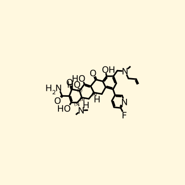 C=CCN(C)Cc1cc(-c2ccc(F)nc2)c2c(c1O)C(=O)C1=C(O)[C@]3(O)C(=O)C(C(N)=O)=C(O)[C@@H](N(C)C)[C@@H]3C[C@@H]1C2